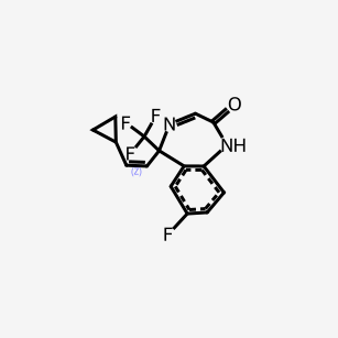 O=C1C=NC(/C=C\C2CC2)(C(F)(F)F)c2cc(F)ccc2N1